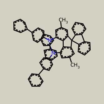 Cc1cc(N(c2ccccc2)c2ccc(-c3ccccc3)cc2)c2c(c1)C1(c3ccccc3-c3ccccc31)c1cc(C)cc(N(c3ccccc3)c3ccc(-c4ccccc4)cc3)c1-2